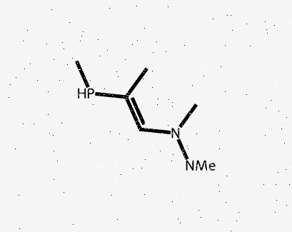 CNN(C)/C=C(\C)PC